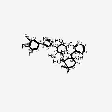 Cc1nccnc1[C@@H]([SH]1C[C@H](O)[C@H](n2cc(-c3cc(F)c(F)c(F)c3)nn2)[C@@H](O)[C@H]1CO)C1(O)CCC(F)(F)CC1